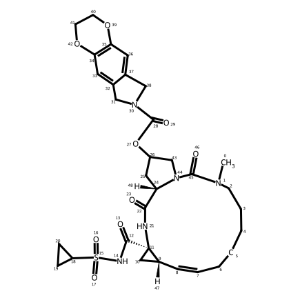 CN1CCCCC/C=C\[C@@H]2C[C@@]2(C(=O)NS(=O)(=O)C2CC2)NC(=O)[C@@H]2CC(OC(=O)N3Cc4cc5c(cc4C3)OCCO5)CN2C1=O